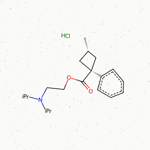 CC(C)N(CCOC(=O)[C@]1(c2ccccc2)C[C@@H](C)C1)C(C)C.Cl